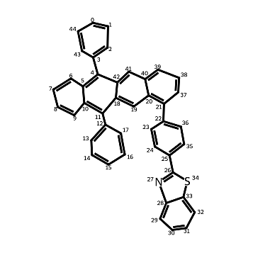 c1ccc(-c2c3ccccc3c(-c3ccccc3)c3cc4c(-c5ccc(-c6nc7ccccc7s6)cc5)cccc4cc23)cc1